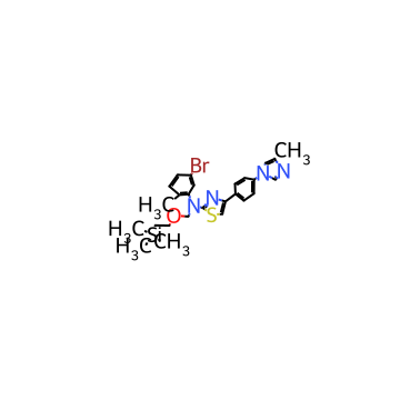 Cc1cn(-c2ccc(-c3csc(N(COCC[Si](C)(C)C)c4cc(Br)ccc4C)n3)cc2)cn1